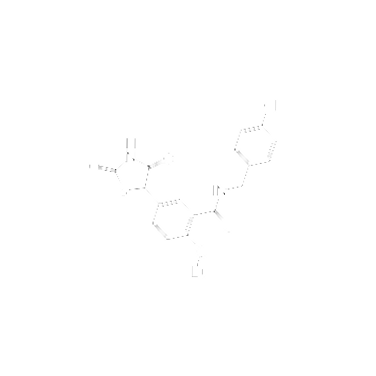 CCOc1ccc(C2SC(=O)NC2=O)cc1C(=O)NCc1ccc(C(F)(F)F)cc1